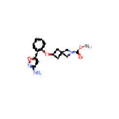 CC(C)(C)OC(=O)N1CC2(CC(Oc3ccccc3-c3cc(N)no3)C2)C1